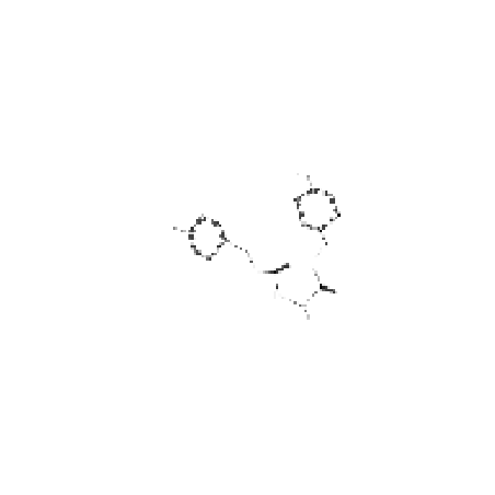 [CH2]C(NC(=O)OCc1ccc([N+](=O)[O-])cc1)C(=O)OCc1ccc([N+](=O)[O-])cc1